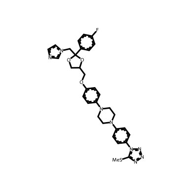 CSc1nnnn1-c1ccc(N2CCN(c3ccc(OCC4COC(Cn5ccnc5)(c5ccc(F)cc5)O4)cc3)CC2)cc1